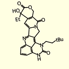 CCC1(O)C(=O)OCc2c1cc1n(c2=O)Cc2c-1nc1cccc3c1c2N(CCC(C)(C)C)C(=O)N3